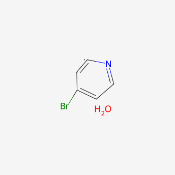 Brc1c[c]ncc1.O